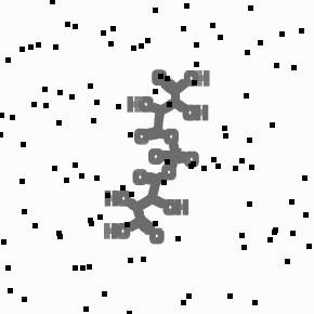 O=C(O)C(O)C(O)C(=O)OS(=O)(=O)OC(=O)C(O)C(O)C(=O)O